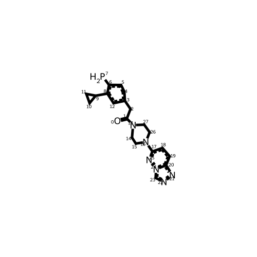 O=C(Cc1ccc(P)c(C2CC2)c1)N1CCN(c2ccc3nncn3n2)CC1